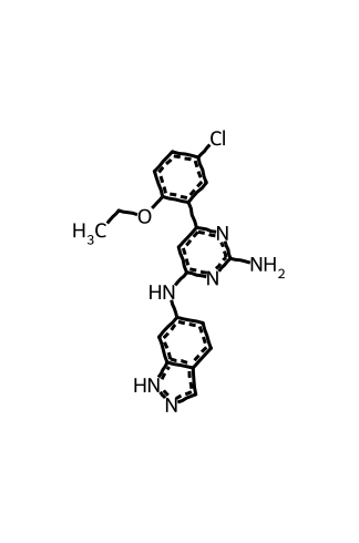 CCOc1ccc(Cl)cc1-c1cc(Nc2ccc3cn[nH]c3c2)nc(N)n1